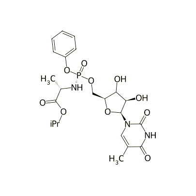 Cc1cn([C@H]2O[C@@H](CO[P@@](=O)(N[C@@H](C)C(=O)OC(C)C)Oc3ccccc3)C(O)[C@H]2O)c(=O)[nH]c1=O